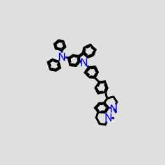 CN1CCCc2ccc3c(c21)N(C)CCC3c1ccc(-c2ccc(-n3c4ccccc4c4cc(N(c5ccccc5)c5ccccc5)ccc43)cc2)cc1